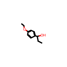 C[CH]C(O)c1ccc(OCC)cc1